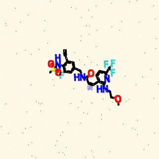 C#Cc1cc(CNC(=O)/C=C\c2ccc(C(F)(F)F)nc2NCCOC)cc(F)c1NS(C)(=O)=O